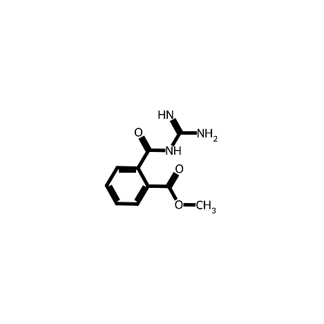 COC(=O)c1ccccc1C(=O)NC(=N)N